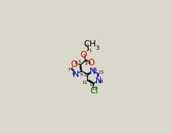 CCOC(=O)c1ocnc1-c1cc(Cl)ncn1